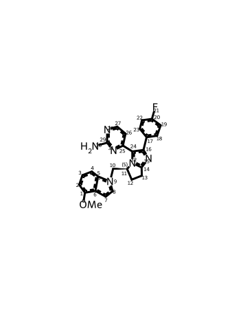 COc1cccc2c1ccn2C[C@@H]1CCc2nc(-c3ccc(F)cc3)c(-c3ccnc(N)n3)n21